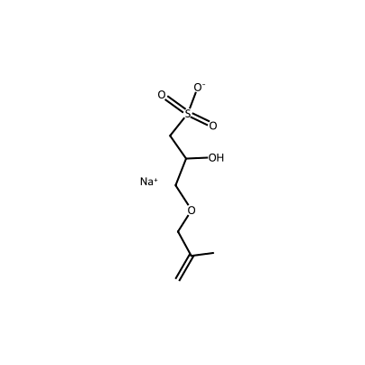 C=C(C)COCC(O)CS(=O)(=O)[O-].[Na+]